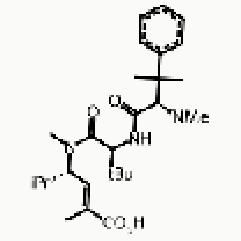 CN[C@@H](C(=O)N[C@H](C(=O)N(C)[C@H](C=C(C)C(=O)O)C(C)C)C(C)(C)C)C(C)(C)c1ccccc1